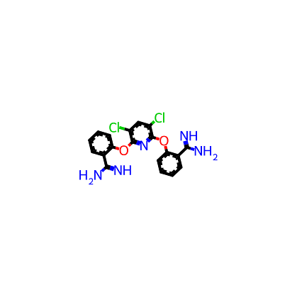 N=C(N)c1ccccc1Oc1nc(Oc2ccccc2C(=N)N)c(Cl)cc1Cl